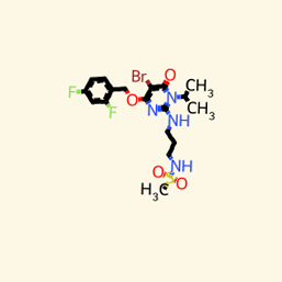 CC(C)n1c(NCCCNS(C)(=O)=O)nc(OCc2ccc(F)cc2F)c(Br)c1=O